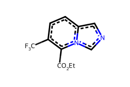 CCOC(=O)c1c(C(F)(F)F)ccc2cncn12